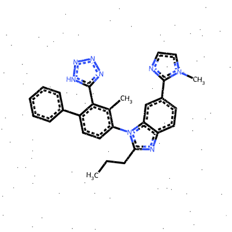 CCCc1nc2ccc(-c3nccn3C)cc2n1-c1ccc(-c2ccccc2)c(-c2nnn[nH]2)c1C